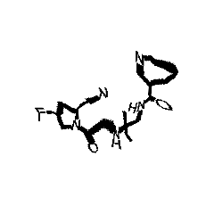 CC(C)(CNC(=O)c1cccnc1)NCC(=O)N1C[C@@H](F)C[C@H]1C#N